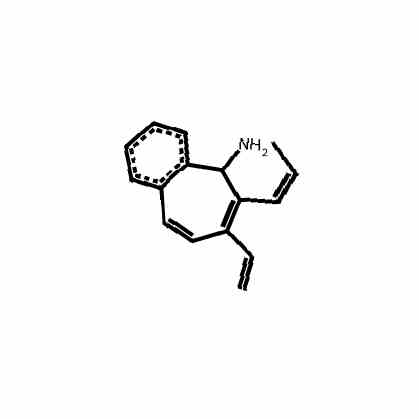 C=CC1=C(/C=C\C)C(N)c2ccccc2C=C1